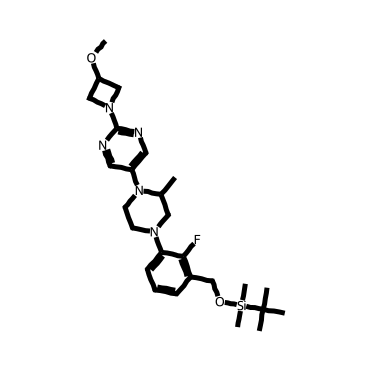 COC1CN(c2ncc(N3CCN(c4cccc(CO[Si](C)(C)C(C)(C)C)c4F)CC3C)cn2)C1